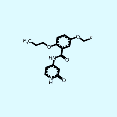 O=C(Nc1cc[nH]c(=O)c1)c1cc(OCF)ccc1OCCC(F)(F)F